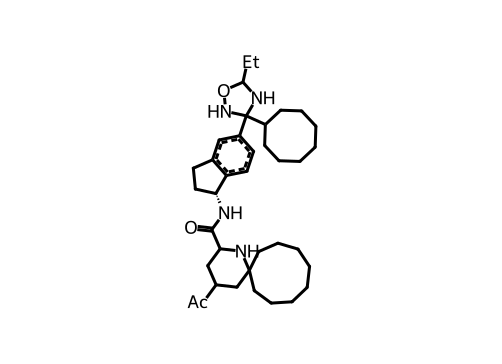 CCC1NC(c2ccc3c(c2)CC[C@H]3NC(=O)C2CC(C(C)=O)CC3(CCCCCCCC3)N2)(C2CCCCCCC2)NO1